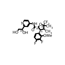 COc1c([C@H]2[C@H](C(=O)Nc3ccnc([C@@H](O)CO)c3)O[C@@](C)(C(F)(F)F)[C@H]2C)ccc(F)c1F